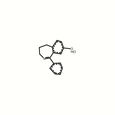 Cl.Clc1ccc2c(c1)C(c1ccccc1)=NCCC2